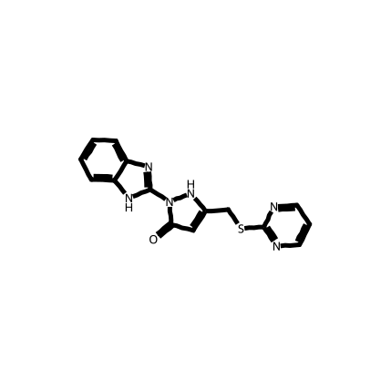 O=c1cc(CSc2ncccn2)[nH]n1-c1nc2ccccc2[nH]1